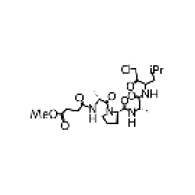 COC(=O)CCC(=O)N[C@H](C)C(=O)N1CCC[C@@H]1C(=O)N[C@@H](C)C(=O)NC(CC(C)C)C(=O)CCl